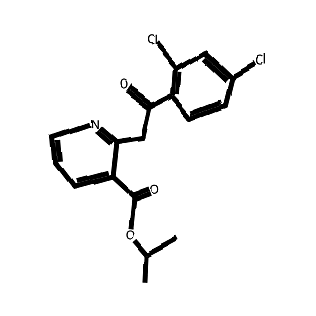 CC(C)OC(=O)c1cccnc1CC(=O)c1ccc(Cl)cc1Cl